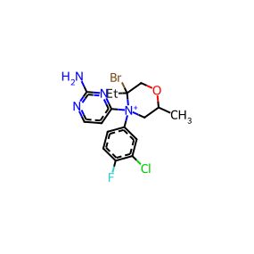 CCC1(Br)COC(C)C[N+]1(c1ccc(F)c(Cl)c1)c1ccnc(N)n1